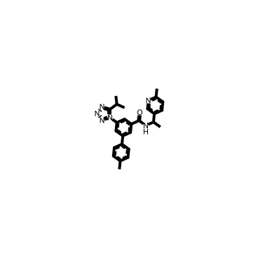 Cc1ccc(-c2cc(C(=O)NC(C)c3ccc(C)nc3)cc(-n3nnnc3C(C)C)c2)cc1